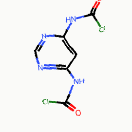 O=C(Cl)Nc1cc(NC(=O)Cl)ncn1